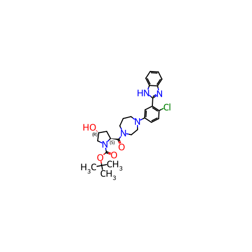 CC(C)(C)OC(=O)N1C[C@H](O)C[C@H]1C(=O)N1CCCN(c2ccc(Cl)c(-c3nc4ccccc4[nH]3)c2)CC1